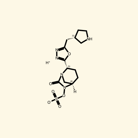 O=C1N2C[C@@H](CC[C@H]2c2nnc(C[C@@H]3CCNC3)o2)N1OS(=O)(=O)[O-].[H+]